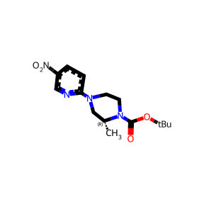 C[C@@H]1CN(c2ccc([N+](=O)[O-])cn2)CCN1C(=O)OC(C)(C)C